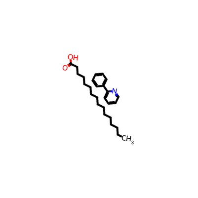 CCCCCCCCCCCCCCCC(=O)O.c1ccc(-c2ccccn2)cc1